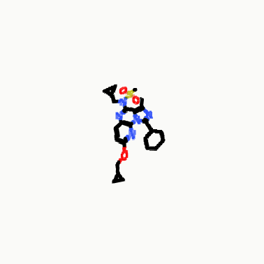 Cc1nc(C2CCCCC2)n2c1c(N(CC1CC1)S(C)(=O)=O)nc1ccc(OCC3CC3)nc12